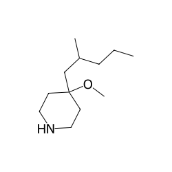 CCCC(C)CC1(OC)CCNCC1